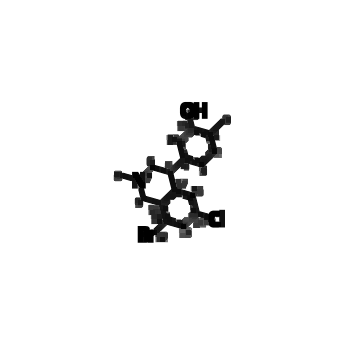 Cc1ccc(C2CN(C)Cc3c(Br)cc(Cl)cc32)cc1O